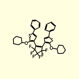 FC1(F)C(c2cc(-c3ccccc3)sc2OC2CCCCC2)=C(c2cc(-c3ccccc3)sc2OC2CCCCC2)C(F)(F)C1(F)F